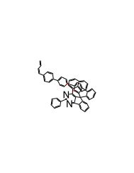 C=C/C=C\c1ccc(-c2ccc(-c3ccc4c(c3)C3(c5ccccc5-4)c4ccccc4-c4nc(-c5ccccc5)nc(-c5cccc6ccccc56)c43)cc2)cc1